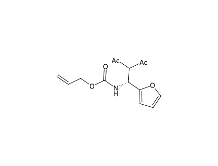 C=CCOC(=O)N[C@@H](c1ccco1)C(C(C)=O)C(C)=O